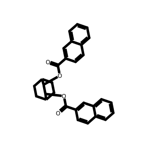 O=C(OC1C2CCC(CC2)C1OC(=O)c1ccc2ccccc2c1)c1ccc2ccccc2c1